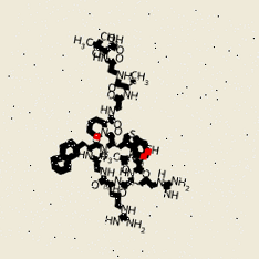 CC[C@H](NC(=O)CNC(=O)[C@@H]1CCCCN1C(=O)[C@H](Cc1csc2ccccc12)NC(=O)[C@H](Cc1ccc2ccccc2c1)NC(=O)CNC(=O)[C@H](CCCNC(=N)N)NC(=O)[C@@H](CCCNC(=N)N)NC(=O)[C@H](CS)NC(C)=O)C(=O)NCC(=O)NC(C(=O)O)C(C)(C)C